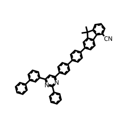 CC1(C)c2cc(-c3ccc(-c4ccc(-c5cc(-c6cccc(-c7ccccc7)c6)nc(-c6ccccc6)n5)cc4)cc3)ccc2-c2c(C#N)cccc21